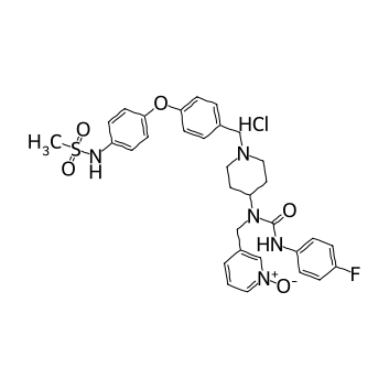 CS(=O)(=O)Nc1ccc(Oc2ccc(CN3CCC(N(Cc4ccc[n+]([O-])c4)C(=O)Nc4ccc(F)cc4)CC3)cc2)cc1.Cl